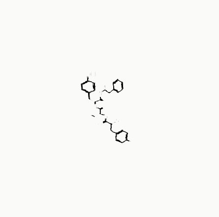 N[C@@H](Cc1ccc(Cl)cc1)C(=O)N[C@H](CS)C(=O)N[C@@H](Cc1ccc(O)cc1)C(=O)N[C@H](Cc1ccccc1)C(=O)O